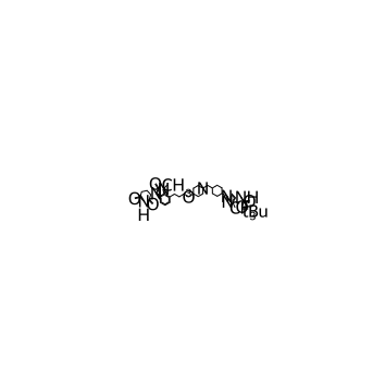 Cn1c(=O)n(C2CCC(=O)NC2=O)c2cccc(CCCOC3CCN(CC4CCC(n5cc(NC(=O)OC(C)(C)C)c(C(F)(F)F)n5)CC4)CC3)c21